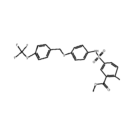 COC(=O)c1cc(S(=O)(=O)Nc2ccc(SCc3ccc(SC(F)(F)F)cc3)cc2)ccc1C